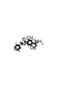 Cc1cc2c(cc1C(=O)NSc1ccncc1)OCC[C@@H]2N